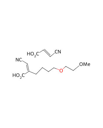 COCCOCCCCC(=CC#N)C(=O)O.N#CC=CC(=O)O